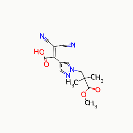 COC(=O)C(C)(C)Cn1cc(C(C(=O)O)=C(C#N)C#N)cn1